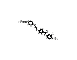 CCCCC[C@H]1CC[C@H](CCCOc2ccc(C(=O)Oc3ccc(CCCC)c(F)c3)cc2)CC1